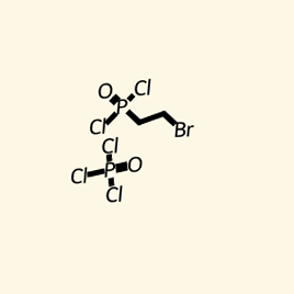 O=P(Cl)(Cl)CCBr.O=P(Cl)(Cl)Cl